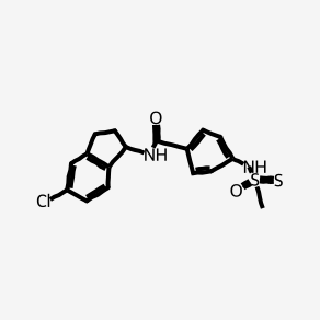 CS(=O)(=S)Nc1ccc(C(=O)NC2CCc3cc(Cl)ccc32)cc1